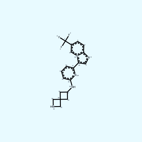 FC(F)(F)c1ccc2ncc(-c3cccc(NC4CC5(CNC5)C4)n3)n2c1